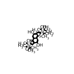 CC(C)[Si](c1cc2c(O)cc3c(cc(O)c4cc([Si](C(C)C)(C(C)C)C(C)C)sc43)c2s1)(C(C)C)C(C)C